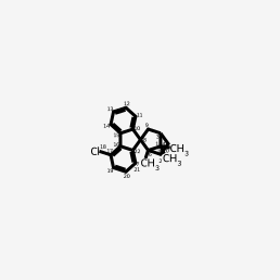 CC1(C)C2CCC1(C)C1(C2)c2ccccc2-c2c(Cl)cccc21